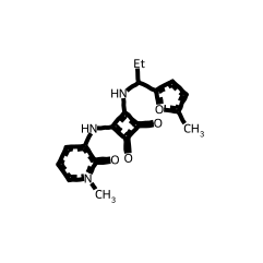 CCC(Nc1c(Nc2cccn(C)c2=O)c(=O)c1=O)c1ccc(C)o1